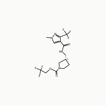 Cn1cc(C(=O)NC[C@@H]2CCN(C(=O)OCC(F)(F)F)C2)c(C(F)(F)F)n1